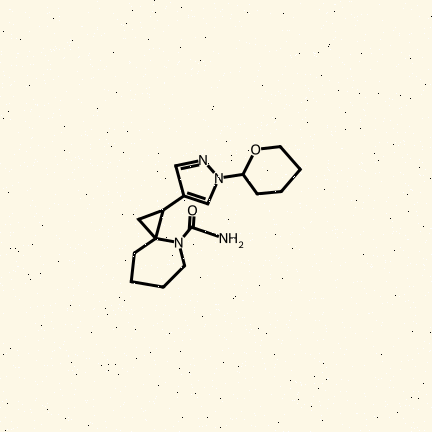 NC(=O)N1CCCCC12CC2c1cnn(C2CCCCO2)c1